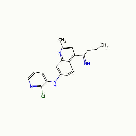 CCCC(=N)c1cc(C)nc2cc(Nc3cccnc3Cl)ccc12